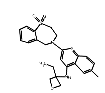 Cc1ccc2nc(N3CCS(=O)(=O)c4ccccc4C3)cc(NC3(CN)COC3)c2c1